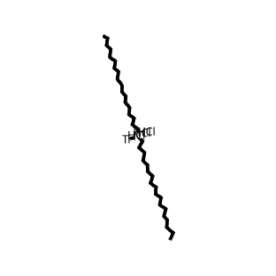 CCCCCCCCCCCCCCCCCC[N]([Ti])CCCCCCCCCCCCCCCCCC.Cl.Cl.Cl